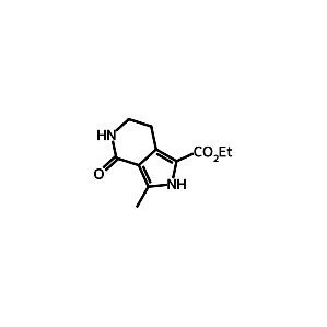 CCOC(=O)c1[nH]c(C)c2c1CCNC2=O